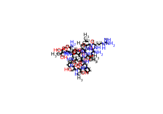 CSCC[C@H](N)C(=O)N[C@@H](CCCNC(=N)N)C(=O)N[C@@H](CC(C)C)C(=O)N[C@H](C(=O)N[C@H](C(=O)N[C@@H](Cc1c[nH]c2ccccc12)C(=O)N[C@@H](Cc1ccccc1)C(=O)N[C@H](C(=O)N[C@@H](CO)C(=O)N1CCC[C@H]1C(=O)N[C@@H](CC(C)C)C(=O)N[C@@H](CC(N)=O)C(=O)N[C@H](C(=O)O)[C@@H](C)O)[C@@H](C)O)C(C)C)[C@@H](C)O